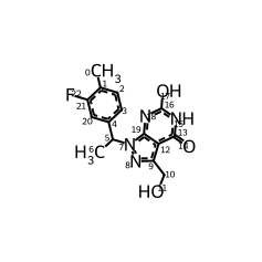 Cc1ccc(C(C)n2nc(CO)c3c(=O)[nH]c(O)nc32)cc1F